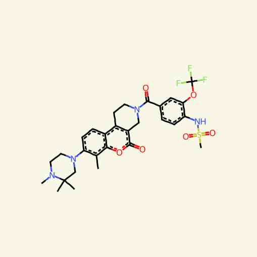 Cc1c(N2CCN(C)C(C)(C)C2)ccc2c3c(c(=O)oc12)CN(C(=O)c1ccc(NS(C)(=O)=O)c(OC(F)(F)F)c1)CC3